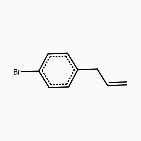 C=CCc1ccc(Br)cc1